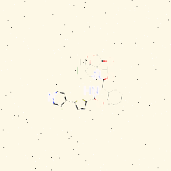 O=C(N[C@H](C(=O)N1C[C@H](Cl)[C@H]2OCC(=O)[C@H]21)C1CCCCC1)c1ccc(-c2ccncc2F)s1